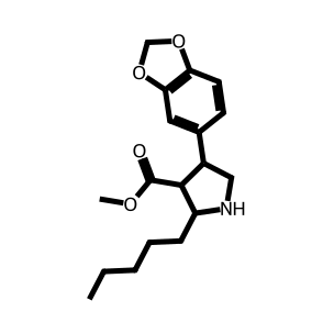 CCCCCC1NCC(c2ccc3c(c2)OCO3)C1C(=O)OC